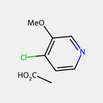 CC(=O)O.COc1cnccc1Cl